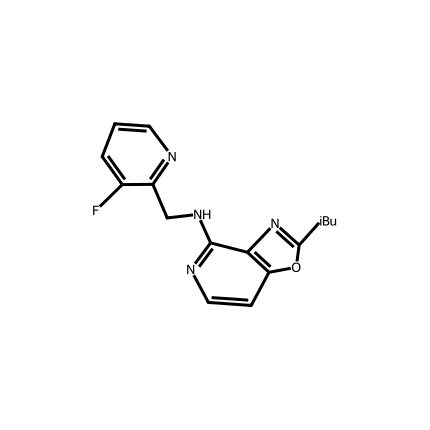 CCC(C)c1nc2c(NCc3ncccc3F)nccc2o1